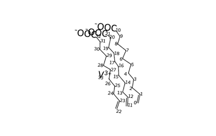 C=CCCCCCCCCC(=O)[O-].C=CCCCCCCCCC(=O)[O-].C=CCCCCCCCCC(=O)[O-].[V+3]